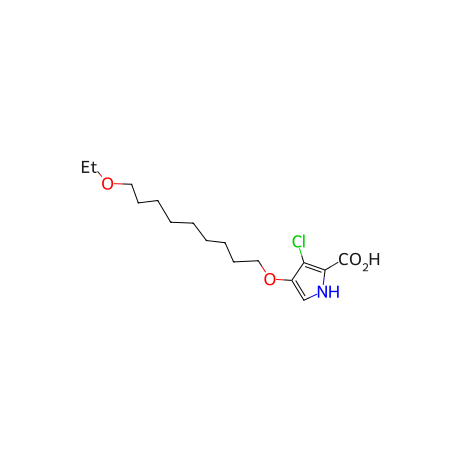 CCOCCCCCCCCCOc1c[nH]c(C(=O)O)c1Cl